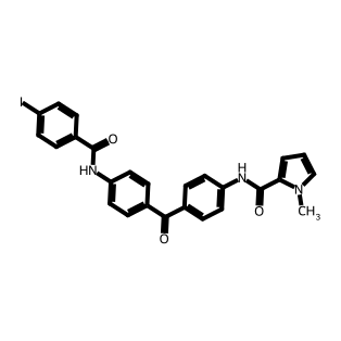 Cn1cccc1C(=O)Nc1ccc(C(=O)c2ccc(NC(=O)c3ccc(I)cc3)cc2)cc1